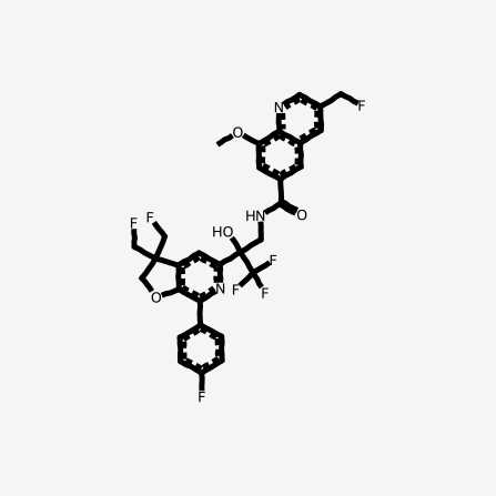 COc1cc(C(=O)NCC(O)(c2cc3c(c(-c4ccc(F)cc4)n2)OCC3(CF)CF)C(F)(F)F)cc2cc(CF)cnc12